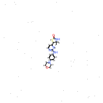 CC1(C)NC(=O)SC1c1ccnc(Nc2ccc(N3CCOCC3)cc2)n1